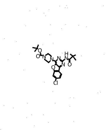 CC(C)(C)OC(=O)N1CCN(c2nc(NC(=O)C(C)(C)C)nc3c2oc2cc(Cl)ccc23)CC1